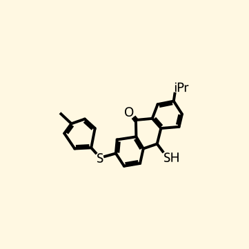 Cc1ccc(Sc2ccc3c(c2)C(=O)c2cc(C(C)C)ccc2C3S)cc1